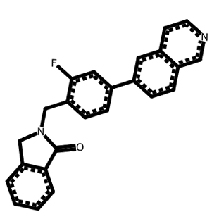 O=C1c2ccccc2CN1Cc1ccc(-c2ccc3cnccc3c2)cc1F